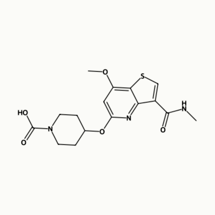 CNC(=O)c1csc2c(OC)cc(OC3CCN(C(=O)O)CC3)nc12